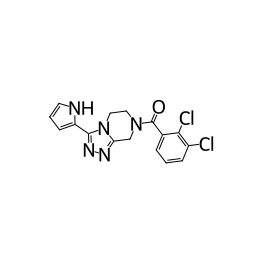 O=C(c1cccc(Cl)c1Cl)N1CCn2c(nnc2-c2ccc[nH]2)C1